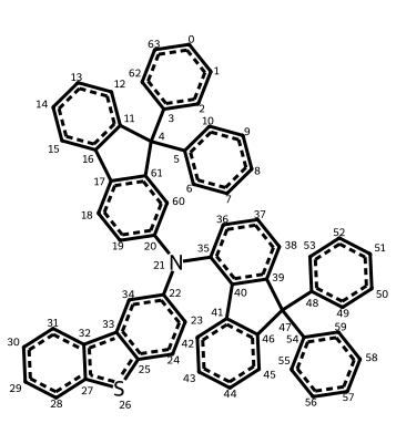 c1ccc(C2(c3ccccc3)c3ccccc3-c3ccc(N(c4ccc5sc6ccccc6c5c4)c4cccc5c4-c4ccccc4C5(c4ccccc4)c4ccccc4)cc32)cc1